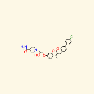 Cc1c(Cc2ccc(-c3ccc(Cl)cc3)cc2)c(=O)oc2cc(OCC(O)CN3CCC(C(N)=O)CC3)ccc12